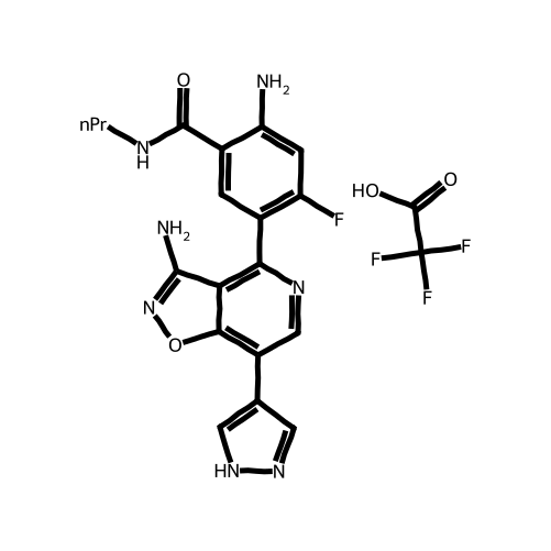 CCCNC(=O)c1cc(-c2ncc(-c3cn[nH]c3)c3onc(N)c23)c(F)cc1N.O=C(O)C(F)(F)F